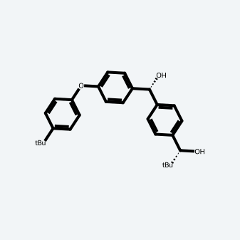 CC(C)(C)c1ccc(Oc2ccc([C@H](O)c3ccc([C@H](O)C(C)(C)C)cc3)cc2)cc1